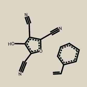 C=Cc1ccccc1.N#Cc1oc(C#N)c(C#N)c1O